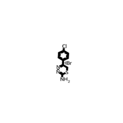 Br.NC1=NN=C(c2ccc(Cl)cc2)CS1